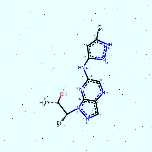 CC[C@@H]([C@H](C)O)n1ncc2ncc(Nc3cc(C(C)C)[nH]n3)nc21